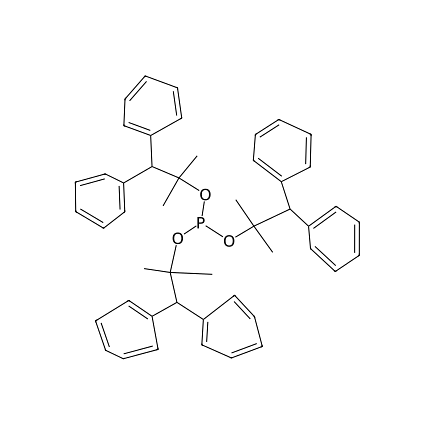 CC(C)(OP(OC(C)(C)C(c1ccccc1)c1ccccc1)OC(C)(C)C(c1ccccc1)c1ccccc1)C(c1ccccc1)c1ccccc1